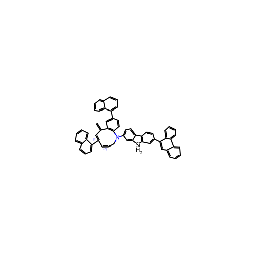 C=C1/C=C(c2cccc3ccccc23)\C=C/CN(c2ccc3c(c2)[SiH2]c2cc(-c4cc5ccccc5c5ccccc45)ccc2-3)c2ccc(-c3cccc4ccccc34)cc21